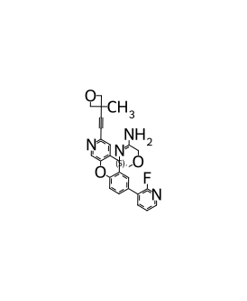 CC1(C#Cc2cc3c(cn2)Oc2ccc(-c4cccnc4F)cc2[C@@]32COCC(N)=N2)COC1